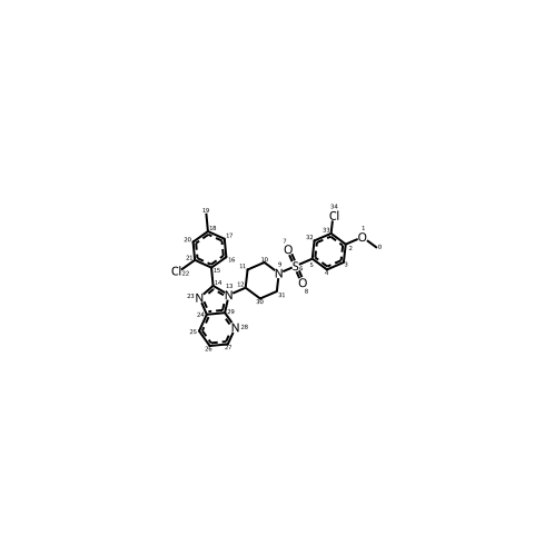 COc1ccc(S(=O)(=O)N2CCC(n3c(-c4ccc(C)cc4Cl)nc4cccnc43)CC2)cc1Cl